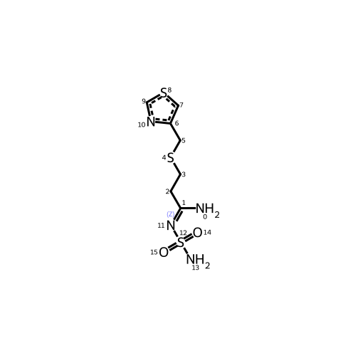 N/C(CCSCc1cscn1)=N\S(N)(=O)=O